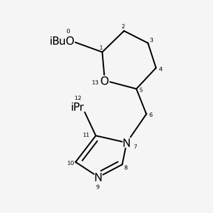 CC(C)COC1CCCC(Cn2cncc2C(C)C)O1